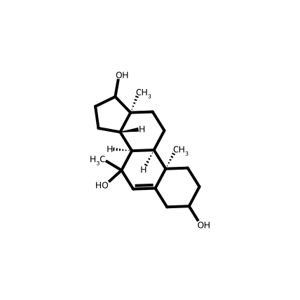 CC1(O)C=C2CC(O)CC[C@]2(C)[C@@H]2CC[C@]3(C)C(O)CC[C@H]3[C@@H]21